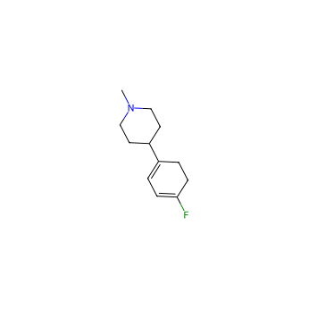 CN1CCC(C2=CC=C(F)CC2)CC1